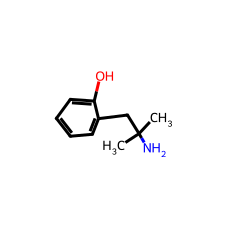 CC(C)(N)Cc1ccccc1O